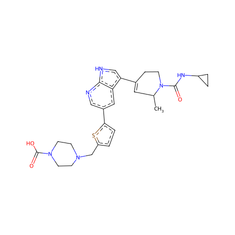 CC1C=C(c2c[nH]c3ncc(-c4ccc(CN5CCN(C(=O)O)CC5)s4)cc23)CCN1C(=O)NC1CC1